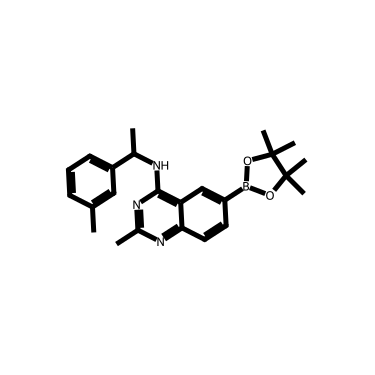 Cc1cccc(C(C)Nc2nc(C)nc3ccc(B4OC(C)(C)C(C)(C)O4)cc23)c1